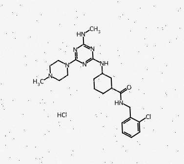 CNc1nc(NC2CCCC(C(=O)NCc3ccccc3Cl)C2)nc(N2CCN(C)CC2)n1.Cl